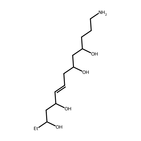 CCC(O)CC(O)/C=C/CC(O)CC(O)CCCN